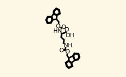 O=C(NCCCC(NC(=O)OCC1c2ccccc2-c2ccccc21)C(=O)O)OCC1c2ccccc2-c2ccccc21